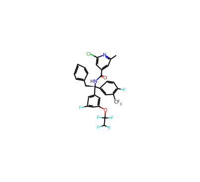 Cc1cc(C(=O)N[C@@](Cc2ccccc2)(c2cc(F)cc(OC(F)(F)C(F)F)c2)c2ccc(F)c(C(F)(F)F)c2)cc(Cl)n1